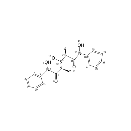 C[C@@H](C(=O)N(O)c1ccccc1)[S+]([O-])[C@@H](C)C(=O)N(O)c1ccccc1